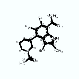 Cc1[nH]c2c(C(N)=O)c(F)c(F)c(C3=CCCN(C(=O)O)C3)c2c1Br